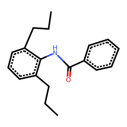 CCCc1cccc(CCC)c1NC(=O)c1ccccc1